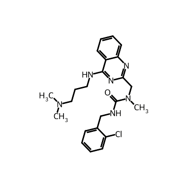 CN(C)CCCNc1nc(CN(C)C(=O)NCc2ccccc2Cl)nc2ccccc12